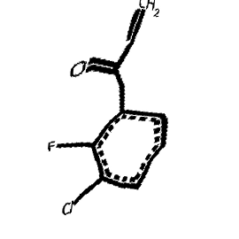 C=CC(=O)c1cccc(Cl)c1F